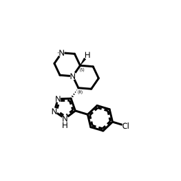 Clc1ccc(-c2[nH]nnc2[C@H]2CCC[C@H]3C[N]CCN32)cc1